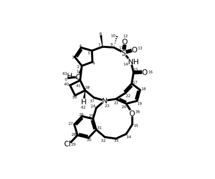 CO[C@@]12C=CC(C1)[C@@H](C)[C@H](C)S(=O)(=O)NC(=O)c1ccc3c(c1)N(Cc1ccc(Cl)cc1CCCCO3)C[C@@H]1CC[C@H]12